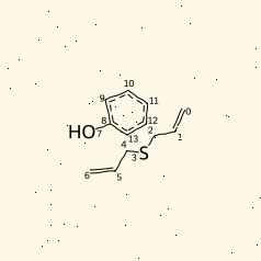 C=CCSCC=C.Oc1ccccc1